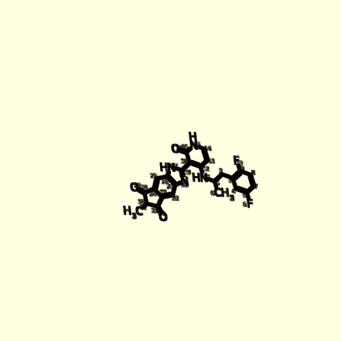 CC(Cc1cc(F)ccc1F)Nc1cc[nH]c(=O)c1-c1nc2cc3c(cc2[nH]1)C(=O)C(C)C3=O